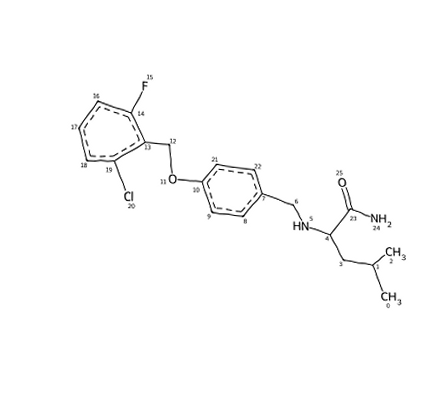 CC(C)CC(NCc1ccc(OCc2c(F)cccc2Cl)cc1)C(N)=O